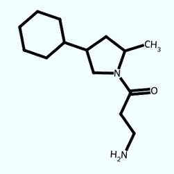 CC1CC(C2CCCCC2)CN1C(=O)CCN